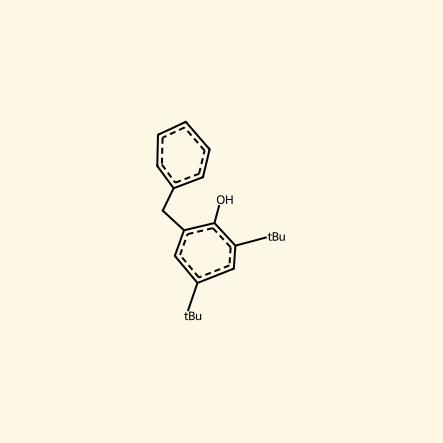 CC(C)(C)c1cc(Cc2ccccc2)c(O)c(C(C)(C)C)c1